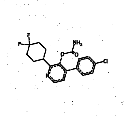 NC(=O)Oc1c(-c2ccc(Cl)cc2)ccnc1C1CCC(F)(F)CC1